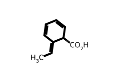 CC=C1C=CC=CC1C(=O)O